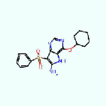 Nc1[nH]c2c(OC3CCCCC3)ncnc2c1S(=O)(=O)c1ccccc1